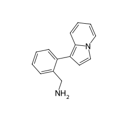 NCc1ccccc1-c1ccn2ccccc12